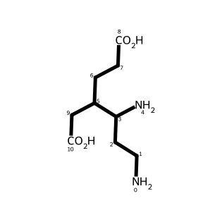 NCCC(N)C(CCC(=O)O)CC(=O)O